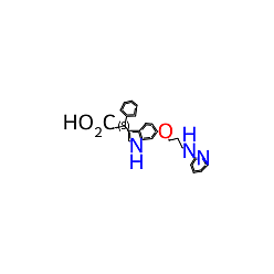 O=C(O)C[C@@H](c1ccccc1)c1c[nH]c2cc(OCCCNc3ccccn3)ccc12